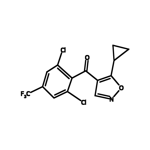 O=C(c1cnoc1C1CC1)c1c(Cl)cc(C(F)(F)F)cc1Cl